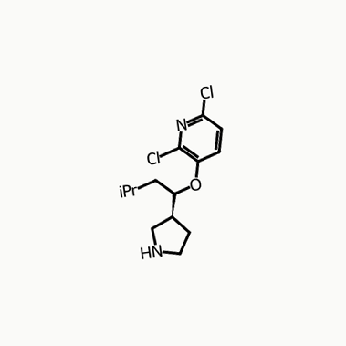 CC(C)CC(Oc1ccc(Cl)nc1Cl)[C@H]1CCNC1